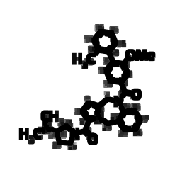 COc1cc(C(=O)N2Cc3ccc(C(=O)N4CC[C@@H](N(C)C)C4)n3Cc3ccccc32)ccc1-c1ccccc1C